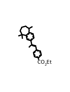 CCOC(=O)c1ccc(/C=C(\C)c2ccc3c(c2)C(C)(C)CCCC3C)cc1